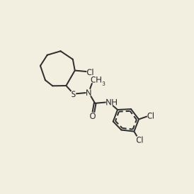 CN(SC1CCCCCCC1Cl)C(=O)Nc1ccc(Cl)c(Cl)c1